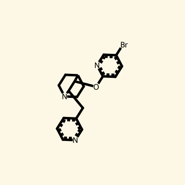 Brc1ccc(OC2C3CCN(CC3)C2Cc2cccnc2)nc1